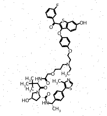 CCN(CCCOCC(=O)N[C@H](C(=O)N1C[C@H](O)C[C@H]1C(=O)N[C@@H](C)c1ccc(-c2scnc2C)cc1)C(C)(C)C)CCOc1ccc(Oc2c(C(=O)c3cccc(F)c3)sc3cc(O)ccc23)cc1